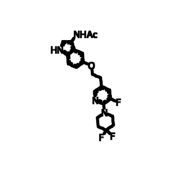 CC(=O)Nc1c[nH]c2ccc(OCCc3cnc(N4CCC(F)(F)CC4)c(F)c3)cc12